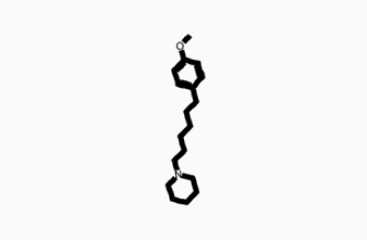 COc1ccc(CCCCCCN2CCCCC2)cc1